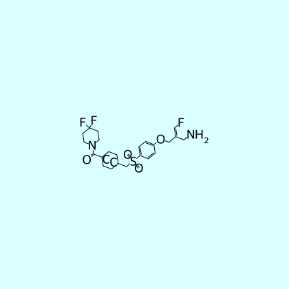 NCC(=CF)COc1ccc(S(=O)(=O)CC23CCC(C(=O)N4CCC(F)(F)CC4)(CC2)CC3)cc1